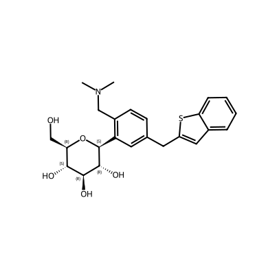 CN(C)Cc1ccc(Cc2cc3ccccc3s2)cc1[C@@H]1O[C@H](CO)[C@@H](O)[C@H](O)[C@H]1O